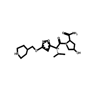 CC(C)[C@@H](C(=O)N1CC(O)CC1C(N)=O)c1cc(OCC2CCNCC2)no1